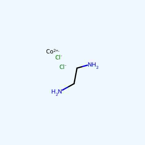 NCCN.[Cl-].[Cl-].[Co+2]